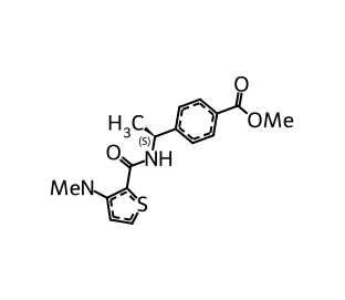 CNc1ccsc1C(=O)N[C@@H](C)c1ccc(C(=O)OC)cc1